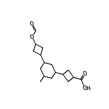 CC1CC(C2CC(OC=O)C2)CC(C2CC(C(=O)O)C2)C1